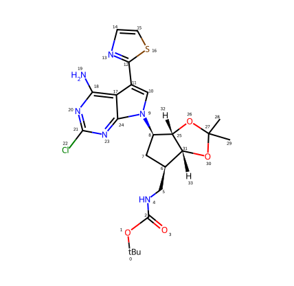 CC(C)(C)OC(=O)NC[C@H]1C[C@@H](n2cc(-c3nccs3)c3c(N)nc(Cl)nc32)[C@@H]2OC(C)(C)O[C@H]12